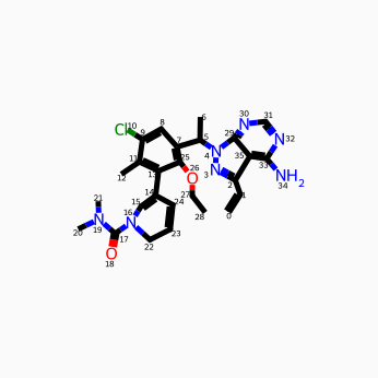 C=Cc1nn(C(C)c2cc(Cl)c(C)c(C3=CN(C(=O)N(C)C)CC=C3)c2OCC)c2ncnc(N)c12